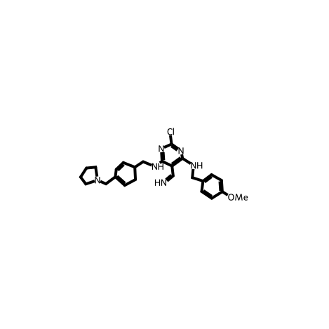 COc1ccc(CNc2nc(Cl)nc(NCC3C=CC(CN4CCCC4)=CC3)c2C=N)cc1